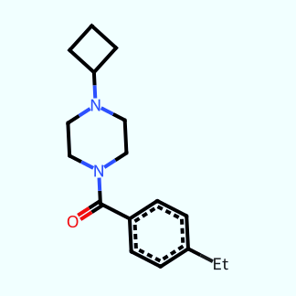 CCc1ccc(C(=O)N2CCN(C3CCC3)CC2)cc1